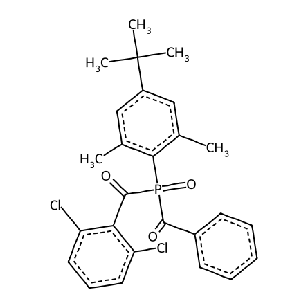 Cc1cc(C(C)(C)C)cc(C)c1P(=O)(C(=O)c1ccccc1)C(=O)c1c(Cl)cccc1Cl